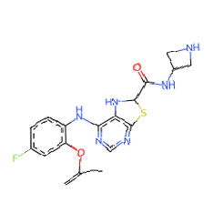 C=C(C)Oc1cc(F)ccc1Nc1ncnc2c1NC(C(=O)NC1CNC1)S2